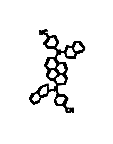 N#Cc1ccc(N(c2ccc3ccccc3c2)c2ccc3ccc4c(N(c5ccc(C#N)cc5)C5C=c6ccccc6=CC5)ccc5ccc2c3c54)cc1